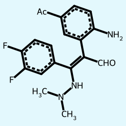 CC(=O)c1ccc(N)c(/C(C=O)=C(/NN(C)C)c2ccc(F)c(F)c2)c1